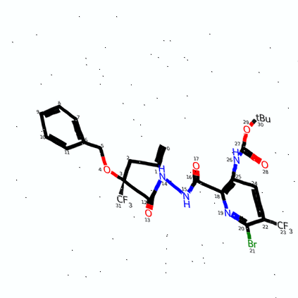 C=CC[C@@](OCc1ccccc1)(C(=O)NNC(=O)c1nc(Br)c(C(F)(F)F)cc1NC(=O)OC(C)(C)C)C(F)(F)F